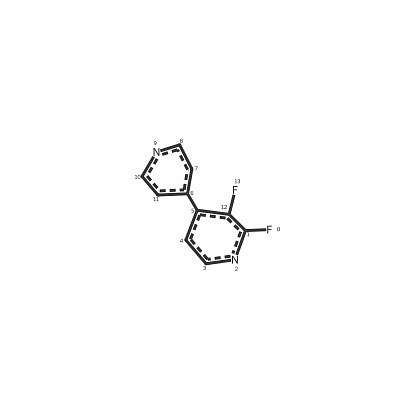 Fc1nccc(-c2ccncc2)c1F